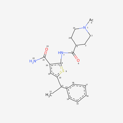 CC(=O)N1CCC(C(=O)Nc2sc(C(C)c3ccccc3)cc2C(N)=O)CC1